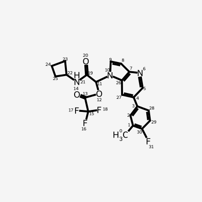 Cc1cc(-c2cnc3ccn(C(OC(=O)C(F)(F)F)C(=O)NC4CCC4)c3c2)ccc1F